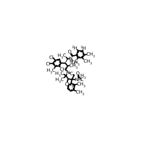 [2H]c1c([2H])c(C(=O)N(C)C(C)[C@H](c2cc(Cl)c(Cl)c(C)c2C)C(C)CN2CCC(NC(C)=O)(c3cccc(C)c3C)C(C)C2(C)C)c(C)c(C)c1C